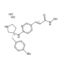 CC(C)(C)c1ccc(C[C@@]2(Nc3ccc(/C=C/C(=O)NO)cn3)CCNC2)cc1.Cl.Cl